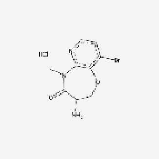 CN1C(=O)C(N)COc2c(Br)ccnc21.Cl